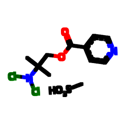 CC(C)(COC(=O)c1ccncc1)N(Cl)Cl.CS(=O)(=O)O